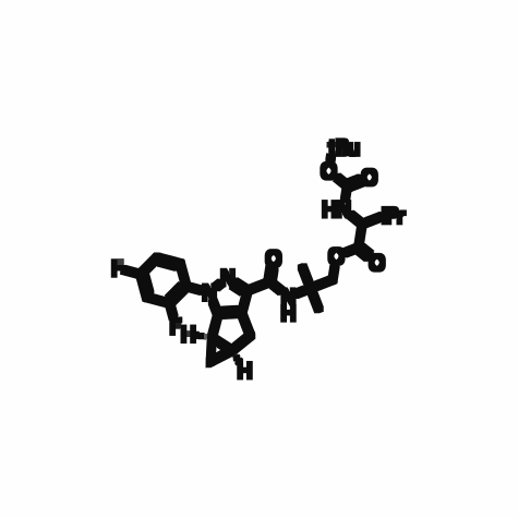 CC(C)C(NC(=O)OC(C)(C)C)C(=O)OCC(C)(C)NC(=O)c1nn(-c2ccc(F)cc2F)c2c1C[C@H]1C[C@@H]21